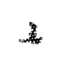 COCCn1cc(C(=O)NCCc2cccc(OC)c2)c(=O)n(-c2cccc(Cl)c2)c1=O